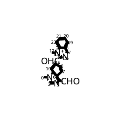 CN1C=NC(C=O)=C2C=CC=CC21.C[n+]1c(C=O)ncc2ccccc21